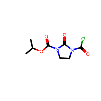 CC(C)OC(=O)N1CCN(C(=O)Cl)C1=O